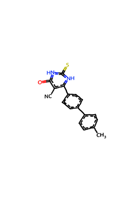 Cc1ccc(-c2ccc(-c3[nH]c(=S)[nH]c(=O)c3C#N)cc2)cc1